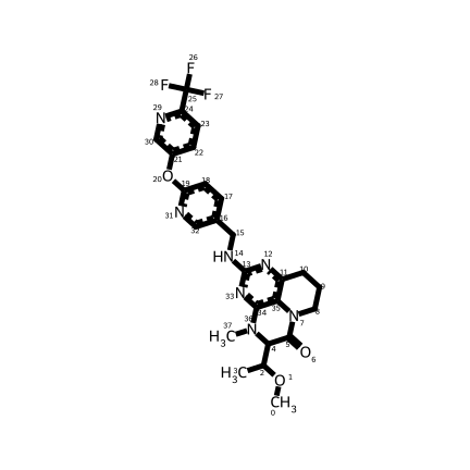 COC(C)C1C(=O)N2CCCc3nc(NCc4ccc(Oc5ccc(C(F)(F)F)nc5)nc4)nc(c32)N1C